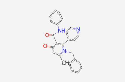 Cc1cc(=O)c(C(=O)Nc2ccccc2)c(-c2ccncc2)n1Cc1ccccc1